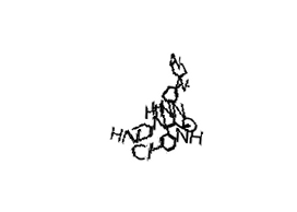 CN1CCC(N(C)c2ccc3[nH]c(-c4c(NC5CCNCC5)c5cc(Cl)ccc5[nH]c4=O)nc3c2)CC1